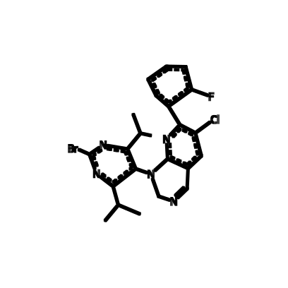 CC(C)c1nc(Br)nc(C(C)C)c1N1CN=Cc2cc(Cl)c(-c3ccccc3F)nc21